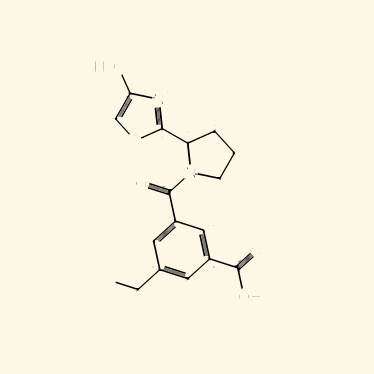 Cc1csc(C2CCCN2C(=O)c2cc(CF)cc(C(=O)O)c2)n1